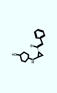 CC/C(=C\c1ccccc1)[C@@H]1CC1NC1CCC(O)CC1